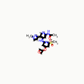 CC(=O)Nc1cc(Nc2cc(OC3COC3)cc(S(C)(=O)=O)n2)c(-c2ccn(C)n2)cn1